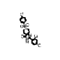 O=C1NC(c2ccc(Cl)cc2Cl)=NC12CCN(S(=O)(=O)c1ccc(Cl)cc1)CC2